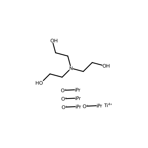 CC(C)[O-].CC(C)[O-].CC(C)[O-].CC(C)[O-].OCCN(CCO)CCO.[Ti+4]